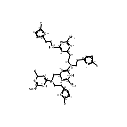 CNC1=NC(C)N=C(N(CCc2ccc(C)s2)CC2N=C(N)NC(N(CCc3ccc(C)s3)CCC3N=C(N)NC(NCCc4ccc(C)s4)=N3)=N2)N1